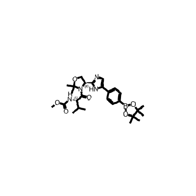 COC(=O)N[C@H](C(=O)N1[C@H](c2ncc(-c3ccc(B4OC(C)(C)C(C)(C)O4)cc3)[nH]2)COC1(C)C)C(C)C